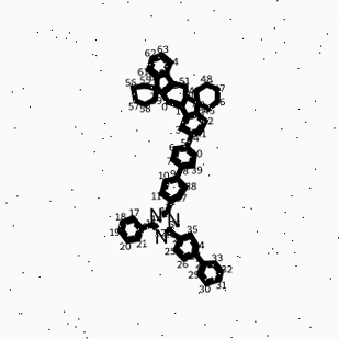 C1=C2c3cc(-c4ccc(-c5ccc(-c6nc(-c7ccccc7)nc(-c7ccc(-c8ccccc8)cc7)n6)cc5)cc4)ccc3C3(CCCCC3)C2CC2=C1C1(CCCCC1)c1ccccc12